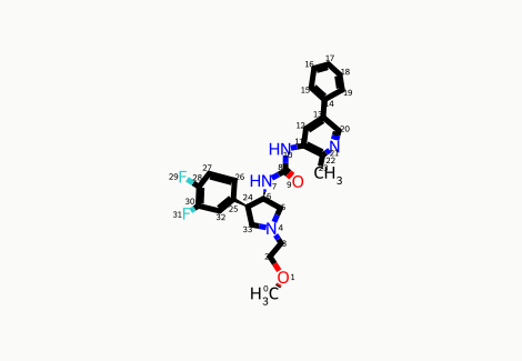 COCCN1C[C@@H](NC(=O)Nc2cc(-c3ccccc3)cnc2C)[C@H](c2ccc(F)c(F)c2)C1